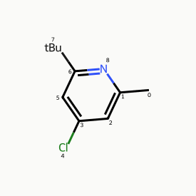 Cc1cc(Cl)cc(C(C)(C)C)n1